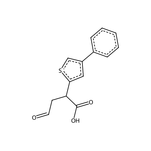 O=CCC(C(=O)O)c1cc(-c2ccccc2)cs1